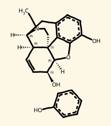 CN1CC[C@]23c4c5ccc(O)c4O[C@H]2[C@@H](O)C=C[C@H]3[C@H]1C5.Oc1ccccc1